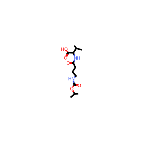 CC(C)OC(=O)NCCCC(=O)NC(C(=O)O)C(C)C